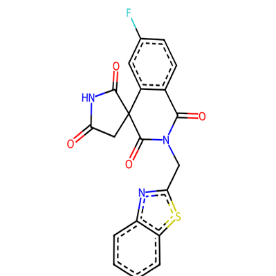 O=C1CC2(C(=O)N1)C(=O)N(Cc1nc3ccccc3s1)C(=O)c1ccc(F)cc12